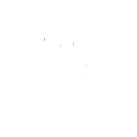 Br.CN(C)CCCc1ccccc1